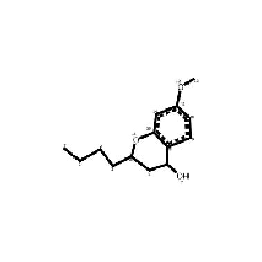 CCCCC1CC(O)c2ccc(OC)cc2O1